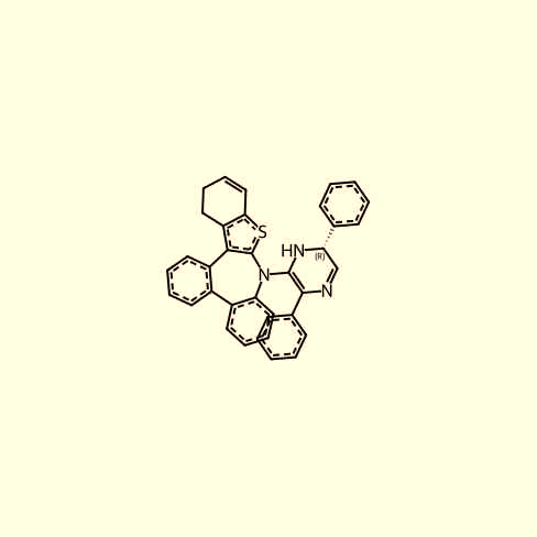 C1=Cc2sc3c(c2CC1)-c1ccccc1-c1ccccc1N3C1=C(c2ccccc2)N=C[C@@H](c2ccccc2)N1